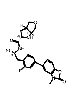 Cn1c(=O)oc2ccc(-c3ccc(C[C@@H](C#N)NC(=O)[C@@H]4C[C@@H]5COC[C@@H]5N4)c(F)c3)cc21